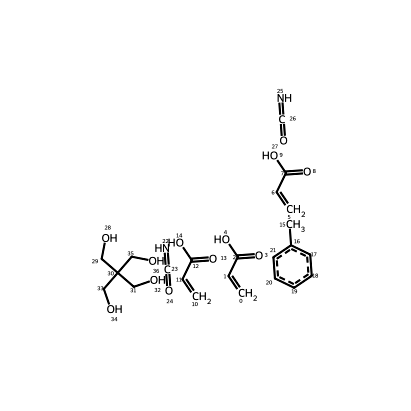 C=CC(=O)O.C=CC(=O)O.C=CC(=O)O.Cc1ccccc1.N=C=O.N=C=O.OCC(CO)(CO)CO